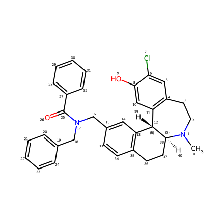 CN1CCc2cc(Cl)c(O)cc2[C@H]2c3cc(CN(Cc4ccccc4)C(=O)c4ccccc4)ccc3CC[C@@H]21